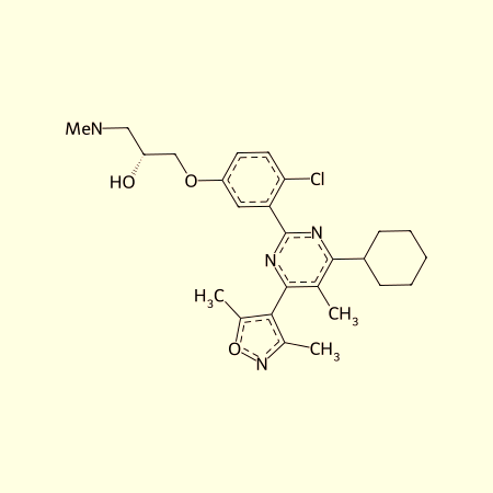 CNC[C@@H](O)COc1ccc(Cl)c(-c2nc(-c3c(C)noc3C)c(C)c(C3CCCCC3)n2)c1